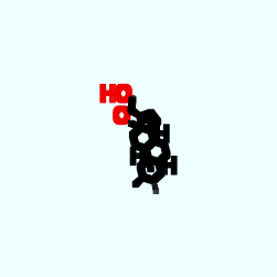 C[C@H]1C[C@@H]2CC[C@@H]3[C@H](CC[C@]4(C)[C@@H](C(=O)CO)CC[C@@H]34)[C@@]2(C)C[C@@H]1C